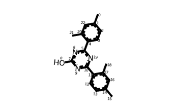 Cc1ccc(-c2nc(O)nc(-c3ccc(C)cc3C)n2)c(C)c1